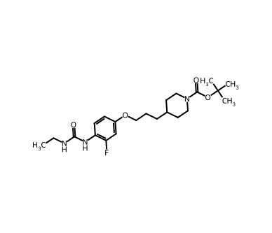 CCNC(=O)Nc1ccc(OCCCC2CCN(C(=O)OC(C)(C)C)CC2)cc1F